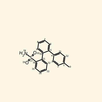 Cc1ccc(-c2ccccc2-c2ccccc2S(N)(=O)=O)cc1